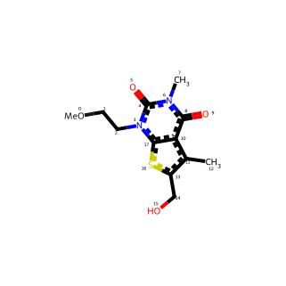 COCCn1c(=O)n(C)c(=O)c2c(C)c(CO)sc21